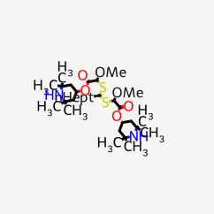 CCCCCCCC(SC(OC)C(=O)OC1CC(C)(C)NC(C)(C)C1)SC(OC)C(=O)OC1CC(C)(C)NC(C)(C)C1